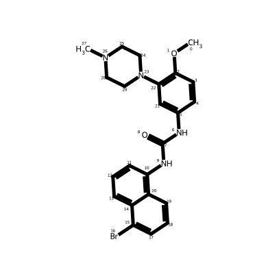 COc1ccc(NC(=O)Nc2cccc3c(Br)cccc23)cc1N1CCN(C)CC1